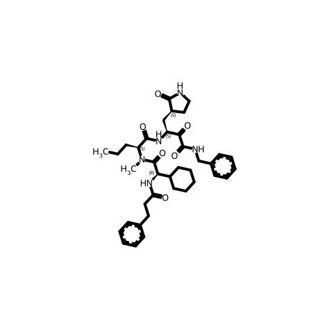 CCC[C@@H](C(=O)N[C@@H](C[C@@H]1CCNC1=O)C(=O)C(=O)NCc1ccccc1)N(C)C(=O)[C@H](NC(=O)CCc1ccccc1)C1CCCCC1